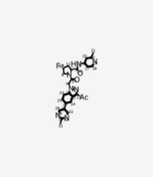 CC(=O)c1nn(CC(=O)N2C[C@H](F)C[C@H]2C(=O)Nc2ccnc(C)c2)c2ccc(-c3cnc(C)nc3)cc12